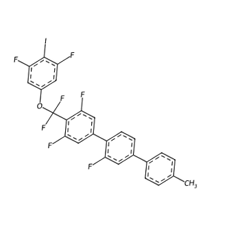 Cc1ccc(-c2ccc(-c3cc(F)c(C(F)(F)Oc4cc(F)c(I)c(F)c4)c(F)c3)c(F)c2)cc1